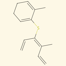 C=C/C(C)=C(\C=C)SC1=CCCC=C1C